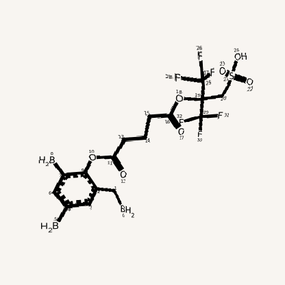 BCc1cc(B)cc(B)c1OC(=O)CCCC(=O)OC(CS(=O)(=O)O)(C(F)(F)F)C(F)(F)F